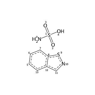 NS(=O)(=O)O.c1ccc2sncc2c1